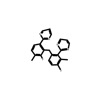 Cc1ccc(-c2ncccn2)c(Cc2ccc(F)c(C)c2-c2ncccn2)c1F